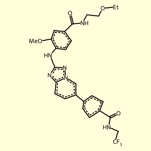 CCOCCNC(=O)c1ccc(Nc2nc3ccc(-c4ccc(C(=O)NCC(F)(F)F)cc4)cn3n2)c(OC)c1